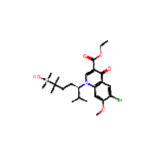 CCOC(=O)c1cn([C@H](CCC(C)(C)[Si](C)(C)O)C(C)C)c2cc(OC)c(Br)cc2c1=O